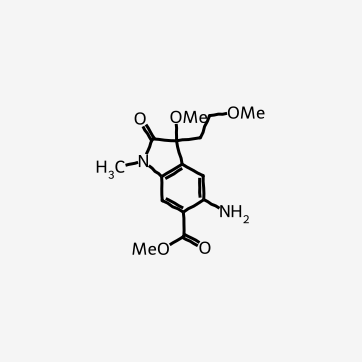 COCCC1(OC)C(=O)N(C)c2cc(C(=O)OC)c(N)cc21